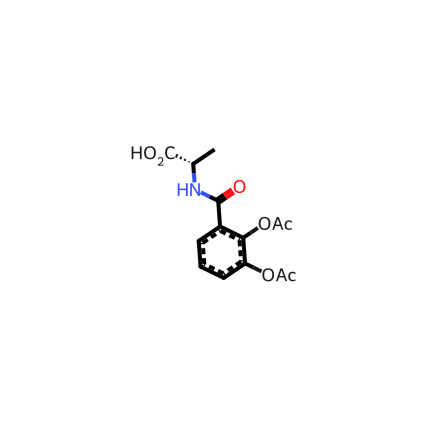 CC(=O)Oc1cccc(C(=O)N[C@@H](C)C(=O)O)c1OC(C)=O